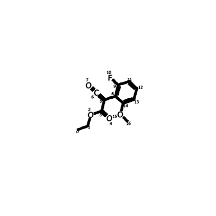 CCOC(=O)C(=C=O)c1c(F)cccc1OC